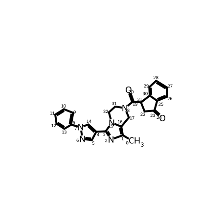 Cc1nc(-c2cnn(-c3ccccc3)c2)n2c1CN(C(=O)C1CC(=O)c3ccccc31)CC2